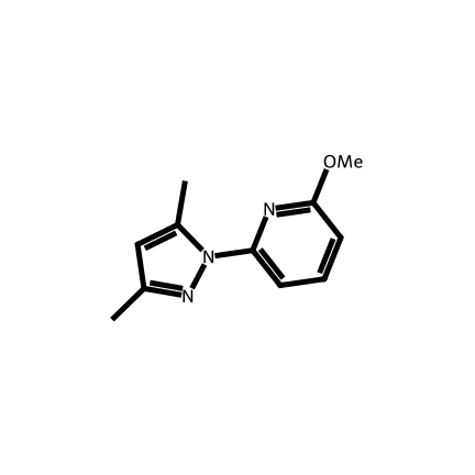 COc1cccc(-n2nc(C)cc2C)n1